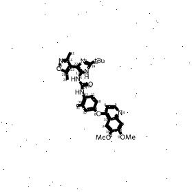 COc1cc2nccc(Oc3ccc(NC(=O)Nc4[nH]c(C(C)(C)C)nc4-c4c(C)noc4C)c(C)c3)c2cc1OC